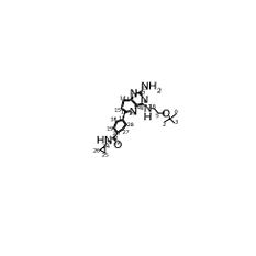 CC(C)(C)OCCNc1nc(N)nc2ccc(-c3ccc(C(=O)NC4CC4)cc3)nc12